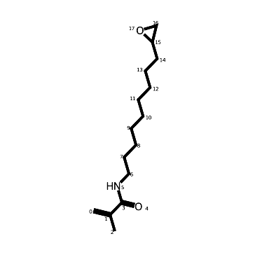 C=C(C)C(=O)NCCCCCCCCCC1CO1